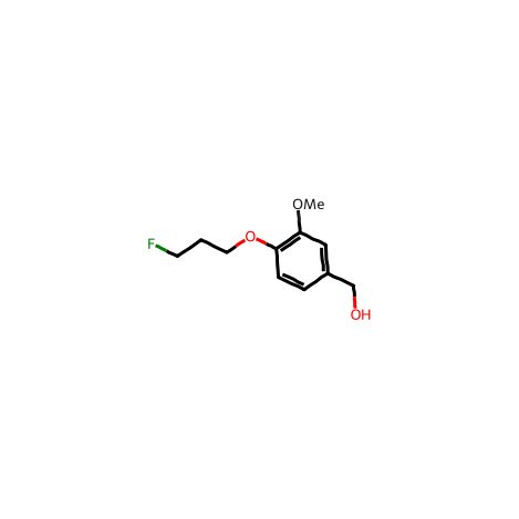 COc1cc(CO)ccc1OCCCF